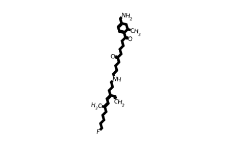 C=C/C(=C\C=C(/C)CCCCCF)CCCNCCCCC(=O)CCCCC(=O)C1=CC=C(CN)CC1C